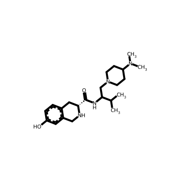 CC(C)C(CN1CCC(N(C)C)CC1)NC(=O)[C@H]1Cc2ccc(O)cc2CN1